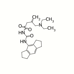 C=C(CN(CC)CC)CS(=O)(=O)NC(=O)Nc1c2c(cc3c1CCC3)CCC2